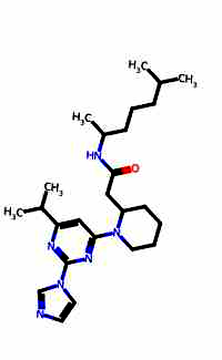 CC(C)CCCC(C)NC(=O)CC1CCCCN1c1cc(C(C)C)nc(-n2ccnc2)n1